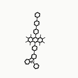 Cc1c(C)c(C)c2c(-c3ccc(-c4ccc5c(c4)c4ccccc4n5-c4ccccc4)cc3)c3c(C)c(C)c(C)c(C)c3c(-c3ccc(-c4ccc(-c5ccccc5)cc4)cc3)c2c1C